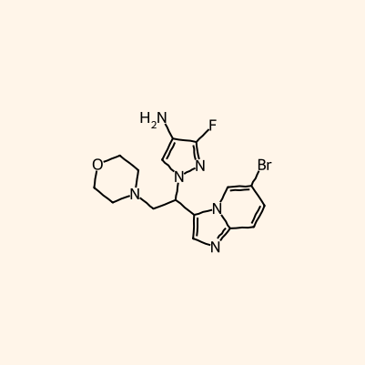 Nc1cn(C(CN2CCOCC2)c2cnc3ccc(Br)cn23)nc1F